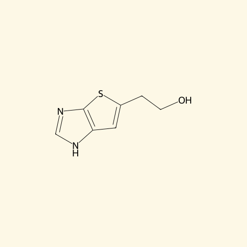 OCCc1cc2[nH]cnc2s1